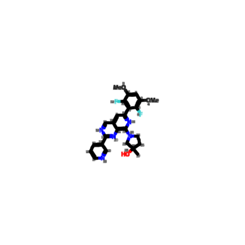 COc1cc(OC)c(F)c(-c2cc3cnc(-c4cccnc4)nc3c(N3CCC(C)(O)C3)n2)c1F